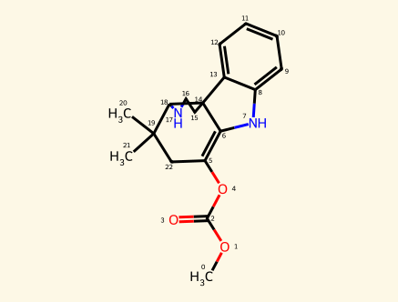 COC(=O)OC1=C2Nc3ccccc3C23CCNC3C(C)(C)C1